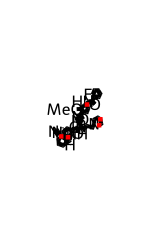 C/C=C1\[C@@H]2C=CCC1(N=[N+]=[N-])C1=C(C2)NC(OC(=O)N(CCCN2CCCCC2)c2nnc(-c3ccc(NC(=O)c4ccccc4F)cc3OC)o2)C=C1